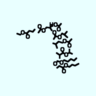 CC(=O)O.CC(=O)OCC(C)C.CC(=O)OCC(C)C.CC(=O)OCCC(C)C.CC(C)OC(=O)C(C)C.CCCC(=O)OCC.CCCCCOC=O.CCCCOC(=O)CC